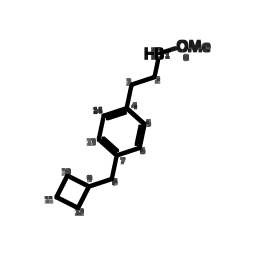 COBCCc1ccc(CC2CCC2)cc1